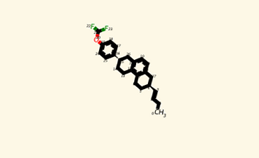 CC/C=C/[C@H]1CCc2c(ccc3c2CC[C@H](c2ccc(OC(F)F)cc2)C3)C1